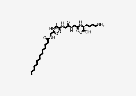 CCCCCCCCCCCCCC(=O)NCC(=O)N[C@@H](C)C(=O)NCC(=O)NCC(=O)N[C@@H](CCCCN)C(=O)O